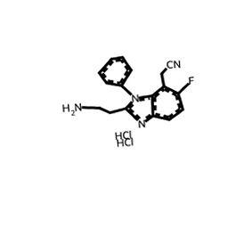 Cl.Cl.N#CCc1c(F)ccc2nc(CCN)n(-c3ccccc3)c12